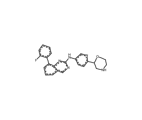 Fc1ccccc1-c1cccc2cnc(Nc3ccc(C4CNCCO4)nc3)nc12